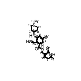 Cc1cc(C)c(CNC(=O)c2cc(Br)cc(NC3CCN(C(C)C)CC3)c2C=N)c(=O)[nH]1